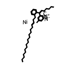 CCCCCCCCCCCCCCCC=CCCc1ccccc1C(=CC(=C=[N+]=[N-])CCCC)c1cccc(C)c1.[Ni]